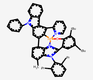 Cc1ccc2c3c1n(-c1c(C(C)C)cccc1C(C)C)c1[n+]3[PH]3(Oc4c-1cc(C(C)(C)C)cc4C(C)(C)C)c1c-2cc2c(c1-c1cccc[n+]13)c1ccccc1n2-c1ccccc1